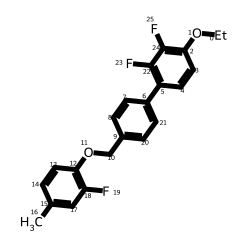 CCOc1ccc(-c2ccc(COc3ccc(C)cc3F)cc2)c(F)c1F